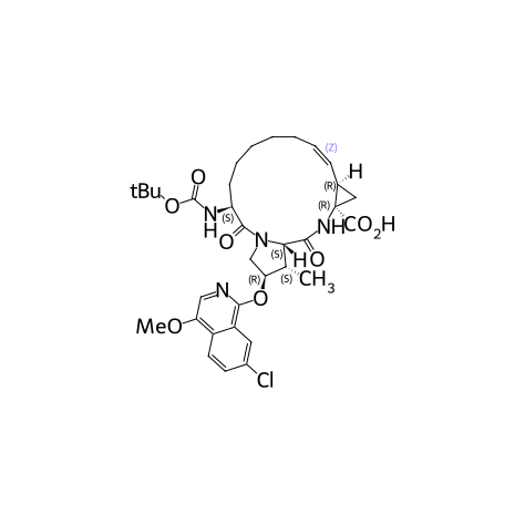 COc1cnc(O[C@H]2CN3C(=O)[C@@H](NC(=O)OC(C)(C)C)CCCCC/C=C\[C@H]4C[C@@]4(C(=O)O)NC(=O)[C@@H]3[C@@H]2C)c2cc(Cl)ccc12